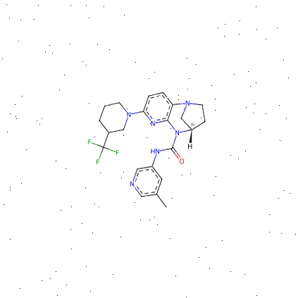 Cc1cncc(NC(=O)N2c3nc(N4CCCC(C(F)(F)F)C4)ccc3N3CC[C@H]2C3)c1